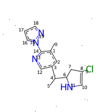 Cc1cc(C(C)C2CC(Cl)=CN2)cnc1-n1cccn1